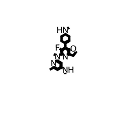 CNc1cc(C)nc(N(C)c2nc3c(c(C4=CC[C@H](NC)CC4)c2F)OCC3)c1